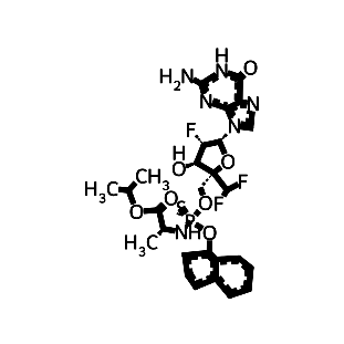 CC(C)OC(=O)[C@H](C)NP(=S)(OC[C@@]1(C(F)F)O[C@@H](n2cnc3c(=O)[nH]c(N)nc32)[C@@H](F)[C@@H]1O)Oc1cccc2ccccc12